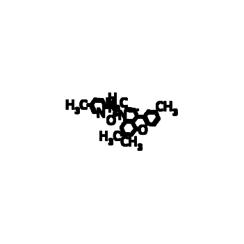 CC1=[C]C(c2cccc(C)c2)C2=C(CC(C)(C)CC2=O)N1C(=O)Nc1ccc(C)cn1